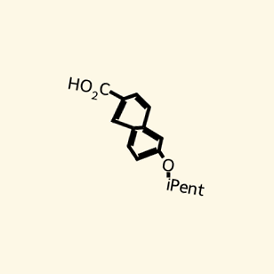 CCCC(C)Oc1ccc2cc(C(=O)O)ccc2c1